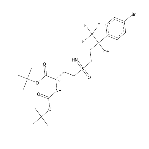 CC(C)(C)OC(=O)N[C@@H](CCS(=N)(=O)CCC(O)(c1ccc(Br)cc1)C(F)(F)F)C(=O)OC(C)(C)C